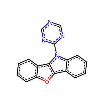 c1ccc2c(c1)oc1c3ccccc3n(-c3ncncn3)c21